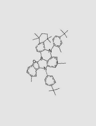 Cc1cc2c3c(c1)N(c1ccc(C(C)(C)C)cc1)c1c(oc4ccc(C)cc14)B3c1ccc3c(c1N2c1ccc(C(C)(C)C)cc1C)C(C)(C)CCC3(C)C